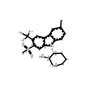 Cc1ccc2c(c1)c1cc(C(F)(F)F)c(S(C)(=O)=O)cc1n2[C@@H]1CCCNC[C@H]1O